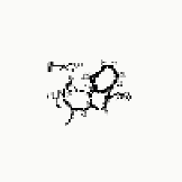 COc1c(CC(C)N)cc(Br)c2ccccc12.Cl